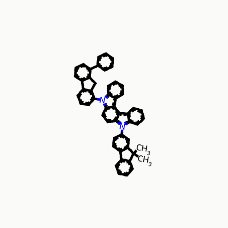 CC1(C)c2ccccc2-c2ccc(-n3c4ccccc4c4c5c6ccccc6n(-c6cccc7c6Cc6c(-c8ccccc8)cccc6-7)c5ccc43)cc21